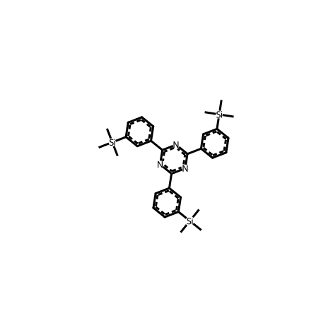 C[Si](C)(C)c1cccc(-c2nc(-c3cccc([Si](C)(C)C)c3)nc(-c3cccc([Si](C)(C)C)c3)n2)c1